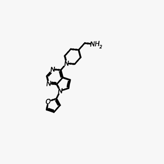 NCC1CCN(c2ncnc3c2ccn3-c2ccco2)CC1